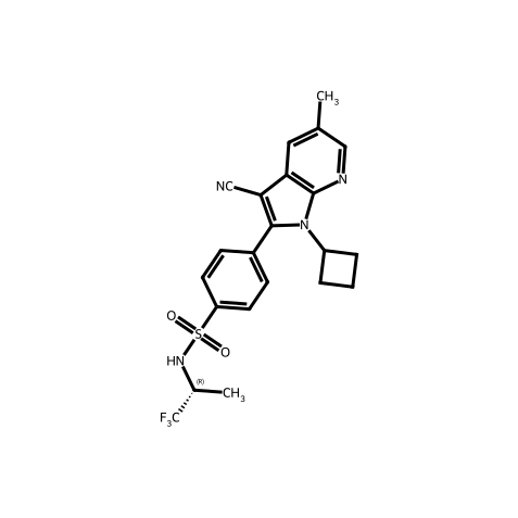 Cc1cnc2c(c1)c(C#N)c(-c1ccc(S(=O)(=O)N[C@H](C)C(F)(F)F)cc1)n2C1CCC1